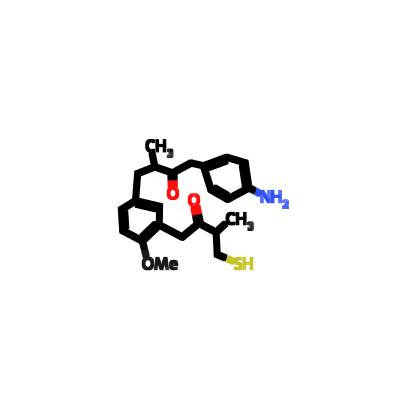 COc1ccc(CC(C)C(=O)Cc2ccc(N)cc2)cc1CC(=O)C(C)CS